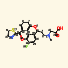 CN(CCC(Oc1cccc(C(=O)c2nccs2)c1)c1ccc(F)cc1)CC(=O)O